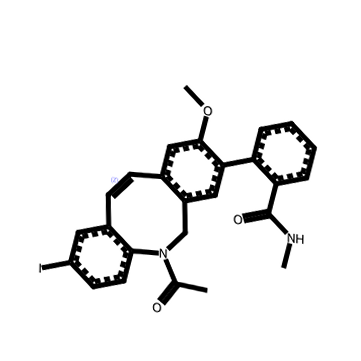 CNC(=O)c1ccccc1-c1cc2c(cc1OC)/C=C\c1cc(I)ccc1N(C(C)=O)C2